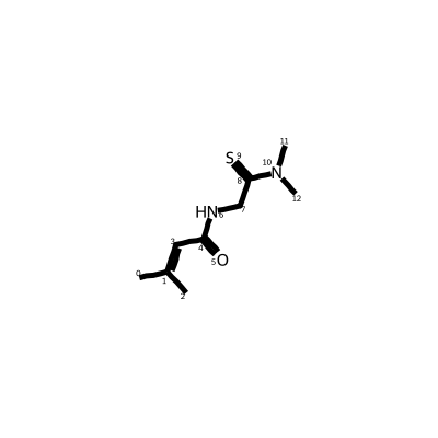 CC(C)=CC(=O)NCC(=S)N(C)C